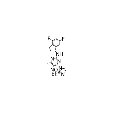 CCc1nccn1-c1nc(NC2CCc3c(F)cc(F)cc32)nc(C)c1[N+](=O)[O-]